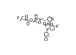 Cc1cc([C@H](CC(=O)Nc2cnccc2CC[C@@H]2CN[C@H](COC(=O)NCC(F)(F)F)CO2)c2ccc(F)cc2)ccc1Cl